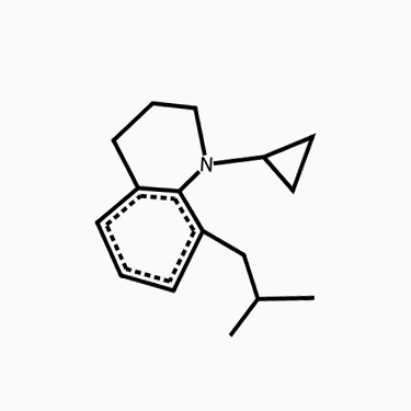 CC(C)Cc1cccc2c1N(C1CC1)CCC2